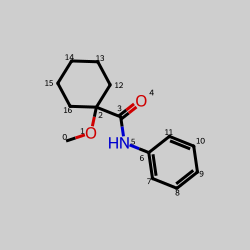 COC1(C(=O)Nc2ccccc2)CCCCC1